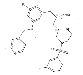 CC(=O)N[C@@H](Cc1cc(F)cc(OCc2ccncc2)c1)C[C@H]1CN(S(=O)(=O)C2=CC(C)=CCC2)CCN1